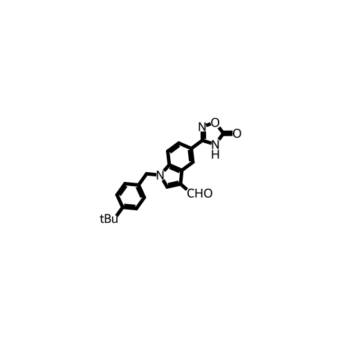 CC(C)(C)c1ccc(Cn2cc(C=O)c3cc(-c4noc(=O)[nH]4)ccc32)cc1